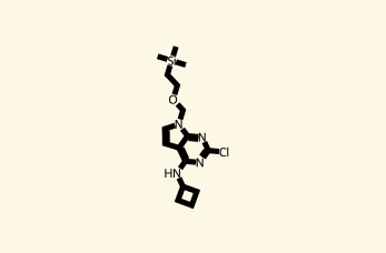 C[Si](C)(C)CCOCn1ccc2c(NC3CCC3)nc(Cl)nc21